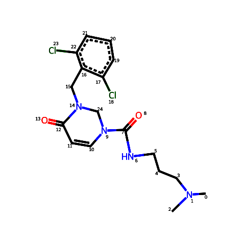 CN(C)CCCNC(=O)N1C=CC(=O)N(Cc2c(Cl)cccc2Cl)C1